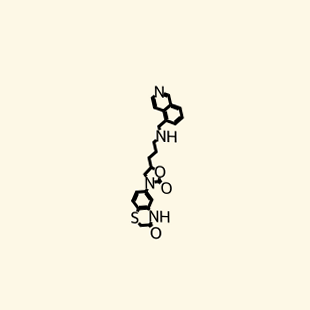 O=C1CSc2ccc(N3CC(CCCNCc4cccc5cnccc45)OC3=O)cc2N1